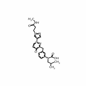 CNC(=O)CCn1cc(-n2ccc(=O)c(Cc3cccc(N(CC(C)C)C(=O)O)c3)n2)cn1